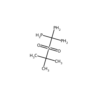 CC(C)(C)S(=O)(=O)C(P)(P)P